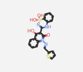 O=c1c(C2=NS(O)(O)c3ccccc3N2)c(O)c2ccccc2n1N=Cc1cccs1